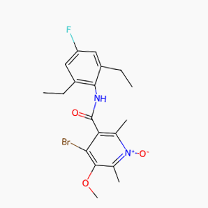 CCc1cc(F)cc(CC)c1NC(=O)c1c(Br)c(OC)c(C)[n+]([O-])c1C